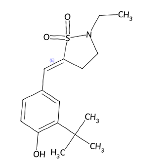 CCN1CC/C(=C\c2ccc(O)c(C(C)(C)C)c2)S1(=O)=O